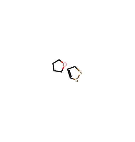 C1=CSSC1.C1CCOC1